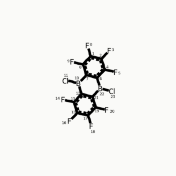 Fc1c(F)c(F)c2c(c1F)B(Cl)c1c(F)c(F)c(F)c(F)c1B2Cl